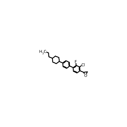 CCCC1CCC(c2ccc(-c3ccc(C4CO4)c(Cl)c3F)cc2)CC1